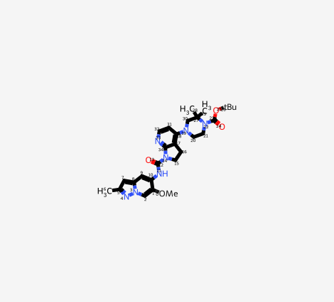 COc1cn2nc(C)cc2cc1NC(=O)N1CCc2c(N3CCN(C(=O)OC(C)(C)C)C(C)(C)C3)ccnc21